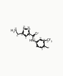 Cc1ccc(NC(=O)c2cc(CN)no2)cc1C(F)(F)F